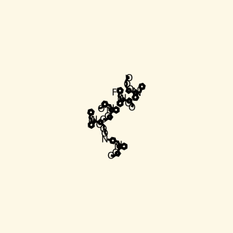 COCOCc1ccc(-c2nn(Cc3ccccc3)c3ccccc23)o1.COc1cccc(Cn2nc(-c3ccc(C=O)o3)c3ccccc32)c1.N#Cc1ccc(Cn2nc(-c3ccc(C=O)o3)c3ccccc32)cc1.O=Cc1ccc(-c2nn(Cc3ccccc3F)c3ccccc23)o1.c1ccc(Cn2nc(-c3ccc(COCC4CO4)o3)c3ccccc32)cc1